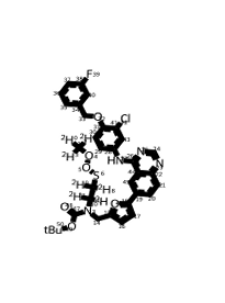 [2H]C([2H])([2H])OOSC([2H])([2H])C([2H])([2H])N(Cc1ccc(-c2ccc3ncnc(Nc4ccc(OCc5cccc(F)c5)c(Cl)c4)c3c2)o1)C(=O)OC(C)(C)C